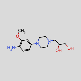 COc1cc(N2CCN(C[C@H](O)CO)CC2)ccc1N